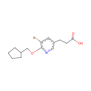 O=C(O)CCc1cnc(OCC2CCCC2)c(Br)c1